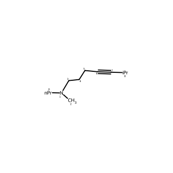 CCCN(C)CCCC#CC(C)C